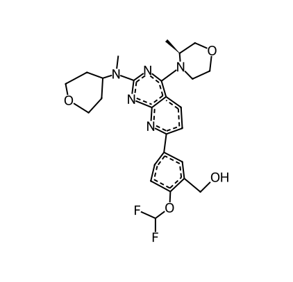 C[C@H]1COCCN1c1nc(N(C)C2CCOCC2)nc2nc(-c3ccc(OC(F)F)c(CO)c3)ccc12